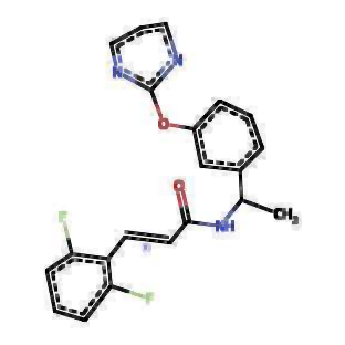 CC(NC(=O)/C=C/c1c(F)cccc1F)c1cccc(Oc2ncccn2)c1